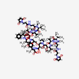 COC(CC(=O)N1CC(CO[C@H]([C@@H](C)C(=O)N[C@H](C(=O)O)C(C)c2ccccc2)[C@@H]2CCCN2C(=O)CC(OC)[C@H](C(C)C)N(C)C(=O)[C@@H](NC(=O)[C@H](C(C)C)N(C)C(=O)CCNC(=O)CCN2C(=O)C=CC2=O)C(C)C)C[C@H]1[C@H](OC)[C@@H](C)C(=O)N[C@H](C(=O)O)C(C)c1ccccc1)[C@H](C(C)C)N(C)C(=O)[C@@H](NC(=O)[C@H](C(C)C)N(C)C(=O)CCNC(=O)CCN1C(=O)C=CC1=O)C(C)C